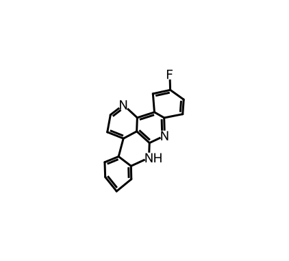 Fc1ccc2nc3c4c(ccnc4c2c1)-c1ccccc1N3